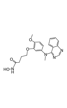 COc1ccc(N(C)c2ncnc3ccccc23)cc1OCCCC(=O)NO